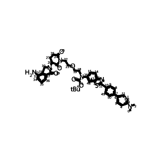 CN(C)c1ccc(-c2ccc(-c3nc4ccc(N(CCOCCN5C(=O)CCC(N6Cc7c(N)cccc7C6=O)C5=O)C(=O)OC(C)(C)C)cc4s3)cc2)cn1